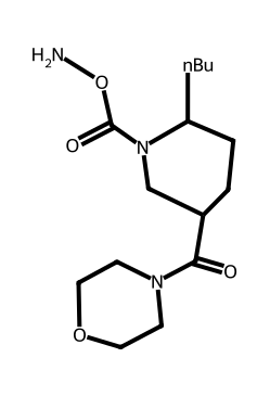 CCCCC1CCC(C(=O)N2CCOCC2)CN1C(=O)ON